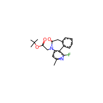 Cc1cc2c(c(F)n1)-c1ccccc1CC(=O)N2CC(=O)OC(C)(C)C